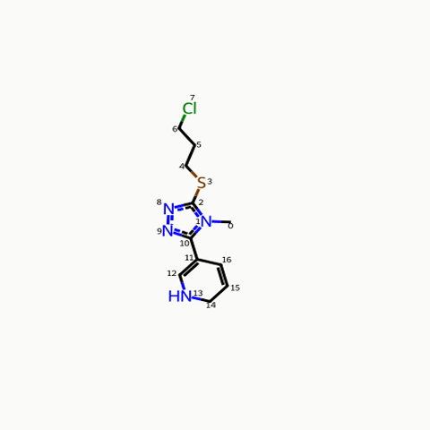 Cn1c(SCCCCl)nnc1C1=CNCC=C1